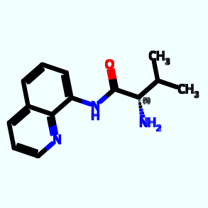 CC(C)[C@H](N)C(=O)Nc1cccc2cccnc12